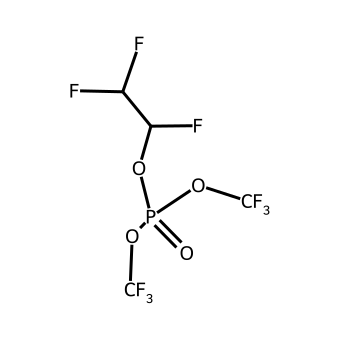 O=P(OC(F)C(F)F)(OC(F)(F)F)OC(F)(F)F